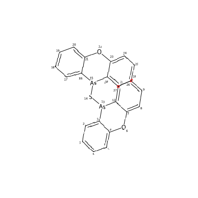 c1ccc2c(c1)Oc1ccccc1[As]2S[As]1c2ccccc2Oc2ccccc21